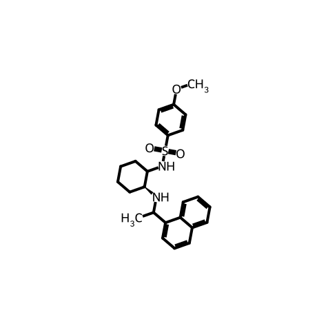 COc1ccc(S(=O)(=O)NC2CCCC[C@@H]2NC(C)c2cccc3ccccc23)cc1